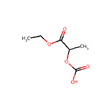 CCOC(=O)C(C)OC(=O)O